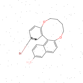 Bc1ccc2c3c(ccc2c1)OCCCCOc1ccc2cc(Br)ccc2c1-3